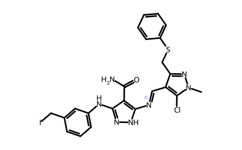 Cn1nc(CSc2ccccc2)c(/C=N/c2[nH]nc(Nc3cccc(CI)c3)c2C(N)=O)c1Cl